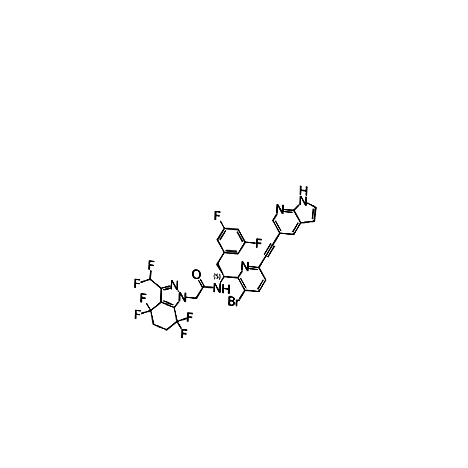 O=C(Cn1nc(C(F)F)c2c1C(F)(F)CCC2(F)F)N[C@@H](Cc1cc(F)cc(F)c1)c1nc(C#Cc2cnc3[nH]ccc3c2)ccc1Br